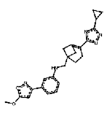 COc1cc(-c2cccc(NCC34CCC(c5nc(C6CC6)no5)=C(C3)C4)c2)no1